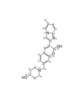 Cc1ccc2nc(C3=Cc4ccc(CN5CCC(O)CC5)cc4OC3O)cn2c1